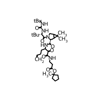 C=CCCC(NC(=O)[C@@H]1C2C(CN1C(=O)[C@@H](NC(=O)NC(C)(C)C)C(C)(C)C)C2(C)C)C(=O)C(=O)NCCC(=O)OC1(C)CCCC1